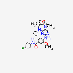 COc1cc(C(=O)NC2CCC(F)CC2)ccc1Nc1ncc2c(n1)N(C1CCCC1)CC(C)(C)C(=O)N2C